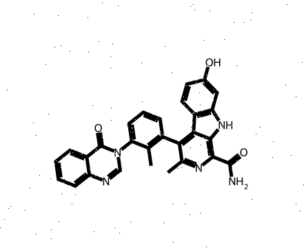 Cc1nc(C(N)=O)c2[nH]c3cc(O)ccc3c2c1-c1cccc(-n2cnc3ccccc3c2=O)c1C